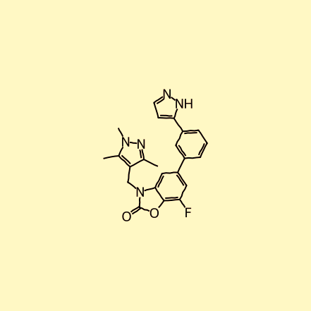 Cc1nn(C)c(C)c1Cn1c(=O)oc2c(F)cc(-c3cccc(-c4ccn[nH]4)c3)cc21